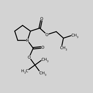 CC(C)COC(=O)C1CCCN1C(=O)OC(C)(C)C